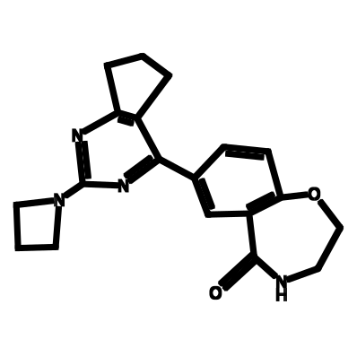 O=C1NCCOc2ccc(-c3nc(N4CCC4)nc4c3CCC4)cc21